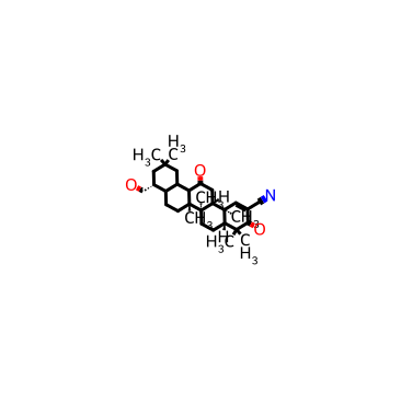 CC1(C)CC2C(CC[C@]3(C)C2C(=O)C[C@@H]2[C@@]4(C)C=C(C#N)C(=O)C(C)(C)[C@@H]4CC[C@]23C)[C@H](C=O)C1